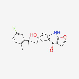 Cc1ccc(F)cc1C(C)(C)CC(O)(Cc1c[nH]c2occc2c1=O)C(F)(F)F